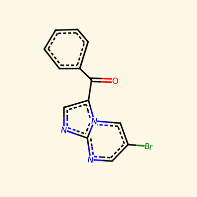 O=C(c1ccccc1)c1cnc2ncc(Br)cn12